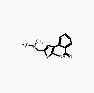 CN(C)Cc1cc2c([nH]c(=O)c3ccccc32)s1